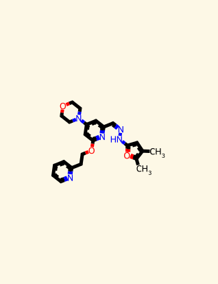 Cc1cc(N/N=C\c2cc(N3CCOCC3)cc(OCCc3ccccn3)n2)oc1C